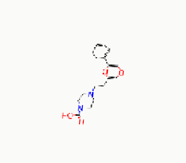 O=C(O)N1CCN(CCC2=COC=C(C3=CC=CCC3)O2)CC1